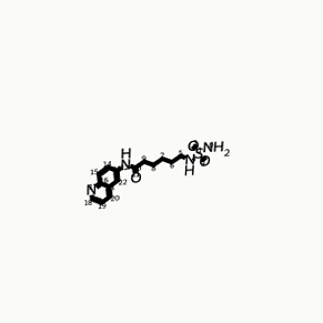 NS(=O)(=O)NCCCCCC(=O)Nc1ccc2ncccc2c1